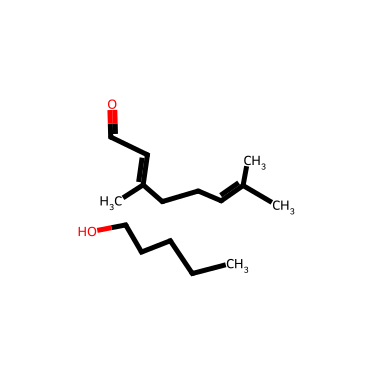 CC(C)=CCCC(C)=CC=O.CCCCCO